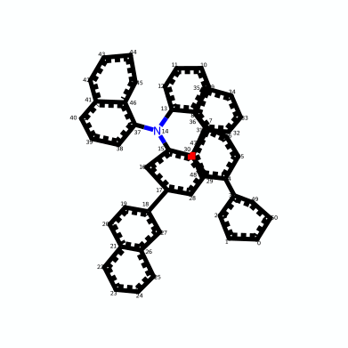 c1ccc(-c2ccc(-c3ccccc3N(c3cc(-c4ccc5ccccc5c4)ccc3-c3ccccc3)c3cccc4ccccc34)cc2)cc1